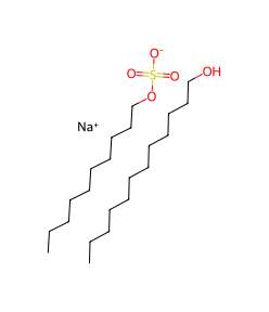 CCCCCCCCCCCCO.CCCCCCCCCCOS(=O)(=O)[O-].[Na+]